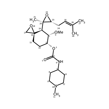 CO[C@@H]1[C@H](OC(=O)NC2CCN(C)CC2)CC[C@]2(CO2)[C@H]1[C@@]1(C)O[C@@H]1CC=C(C)C